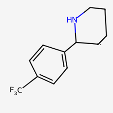 FC(F)(F)c1ccc(C2[CH]CCCN2)cc1